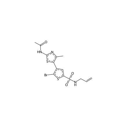 C=CCNS(=O)(=O)c1cc(-c2sc(NC(C)=O)nc2C)c(Br)s1